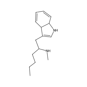 CCCCC(CC1=CNC2C=CC=CC12)NC